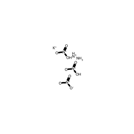 N.N.O=[N+]([O-])O.O=[N+]([O-])O.O=[N+]([O-])[O-].[K+]